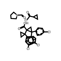 O=C(Cl)C1CC1.O=C(O)C1(C2(c3ccc(Cl)cc3)CC2)CC1(c1ccc(Cl)cc1)c1ccc(Cl)cc1.O=CN1CCCC1